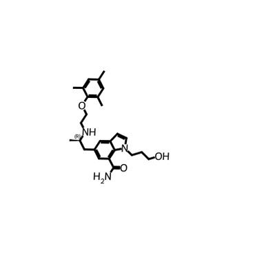 Cc1cc(C)c(OCCN[C@H](C)Cc2cc(C(N)=O)c3c(ccn3CCCO)c2)c(C)c1